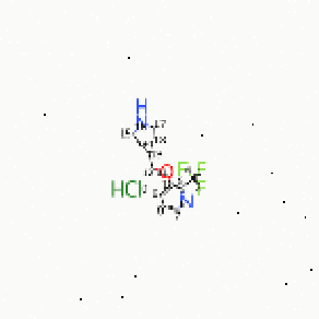 Cl.FC(F)(F)c1ncccc1OCC1C2CNCC21